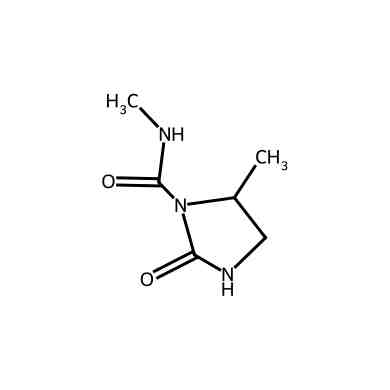 CNC(=O)N1C(=O)NCC1C